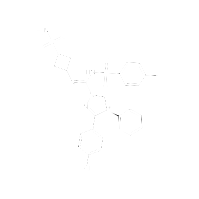 NS(=O)(=O)C1CC(/N=C(\NS(=O)(=O)c2ccc(Cl)cc2)N2C[C@@H](c3ccccc3)C(c3ccc(Cl)cc3)=N2)C1